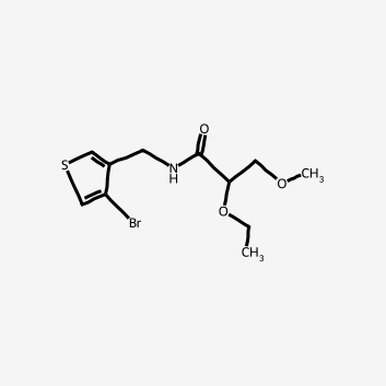 CCOC(COC)C(=O)NCc1cscc1Br